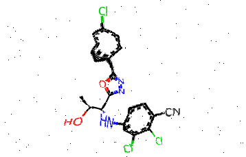 C[C@H](O)[C@@H](Nc1ccc(C#N)c(Cl)c1Cl)c1nnc(-c2ccc(Cl)cc2)o1